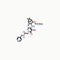 COCOC1C(Nc2cnn(CC(=O)NCc3ccncc3)c(=O)c2Br)C(C)C2CC1C2(C)C